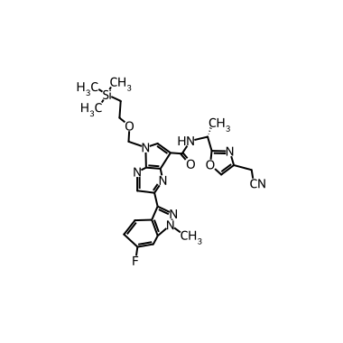 C[C@@H](NC(=O)c1cn(COCC[Si](C)(C)C)c2ncc(-c3nn(C)c4cc(F)ccc34)nc12)c1nc(CC#N)co1